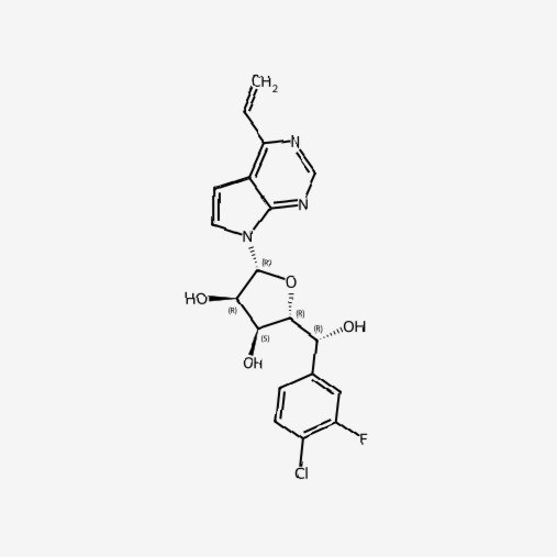 C=Cc1ncnc2c1ccn2[C@@H]1O[C@H]([C@H](O)c2ccc(Cl)c(F)c2)[C@@H](O)[C@H]1O